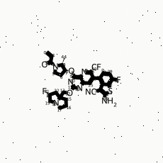 C=CC(=O)N1CC[C@@H](Oc2nc(OCC34CCCN3C[C@H](F)C4)nc3cc(-c4ccc(F)c5sc(N)c(C#N)c45)c(C(F)(F)F)nc23)[C@H]1C